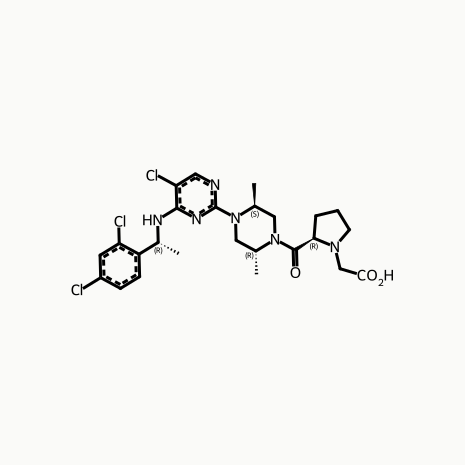 C[C@@H]1CN(c2ncc(Cl)c(N[C@H](C)c3ccc(Cl)cc3Cl)n2)[C@@H](C)CN1C(=O)[C@H]1CCCN1CC(=O)O